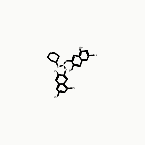 CC(C)c1cc(C(C)C)c2cc(OP(Oc3cc4c(C(C)C)cc(C(C)C)cc4cc3C(C)C)OC3CCCCC3)c(C(C)C)cc2c1